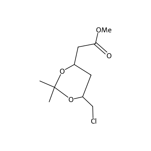 COC(=O)CC1CC(CCl)OC(C)(C)O1